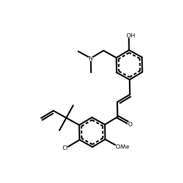 C=CC(C)(C)c1cc(C(=O)/C=C/c2ccc(O)c(CN(C)C)c2)c(OC)cc1Cl